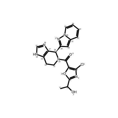 CC(O)c1nc(Cl)c(C(=O)N2CCc3[nH]cnc3[C@H]2c2cc3ccccn3n2)o1